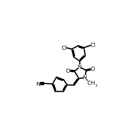 CN1C(=O)N(c2cc(Cl)cc(Cl)c2)C(=O)C1=Cc1ccc(C#N)cc1